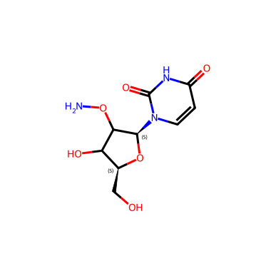 NOC1C(O)[C@H](CO)O[C@@H]1n1ccc(=O)[nH]c1=O